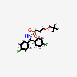 CC(C)(C)COCCCS(=O)(=O)NC(c1ccc(F)cc1)c1ccc(F)cc1